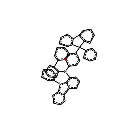 c1ccc(-c2ccccc2N(c2ccc(C3(c4ccccc4)c4ccccc4-c4ccccc43)cc2)c2cccc3c4ccccc4n(-c4ccccc4)c23)cc1